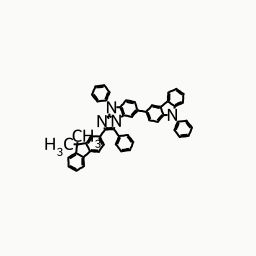 CC1(C)c2ccccc2-c2ccc(-c3nc4n(-c5ccccc5)c5ccc(-c6ccc7c(c6)c6ccccc6n7-c6ccccc6)cc5n4c3-c3ccccc3)cc21